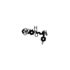 Cn1ncc(C=CC(=O)Nc2ccc(C[P]3(O)OCCCO3)cc2)c1-c1ccc(F)cc1